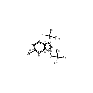 FC(F)(F)Cn1cc(C(F)(F)F)c2ccc(Br)nc21